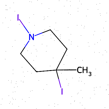 CC1(I)CCN(I)CC1